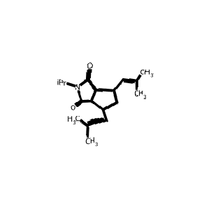 CC(C)=CC1CC(C=C(C)C)C2C(=O)N(C(C)C)C(=O)C12